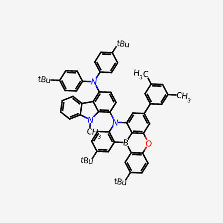 Cc1cc(C)cc(-c2cc3c4c(c2)N(c2ccc(N(c5ccc(C(C)(C)C)cc5)c5ccc(C(C)(C)C)cc5)c5c6ccccc6n(C)c25)c2ccc(C(C)(C)C)cc2B4c2cc(C(C)(C)C)ccc2O3)c1